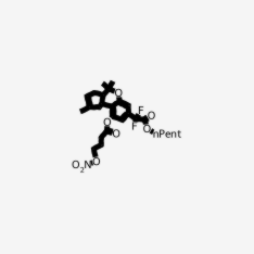 CCCCCOC(=O)C(F)(F)c1cc(OC(=O)CCCO[N+](=O)[O-])c2c(c1)OC(C)(C)C1CC=C(C)CC21